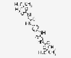 CC(C)(C)OC(=O)NCC(=O)Nc1ccc(NC(=O)CNC(=O)OC(C)(C)C)cc1